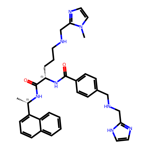 C[C@H](NC(=O)[C@H](CCCNCc1nccn1C)NC(=O)c1ccc(CNCc2ncc[nH]2)cc1)c1cccc2ccccc12